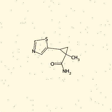 CC1(C(N)=O)CC1c1cncs1